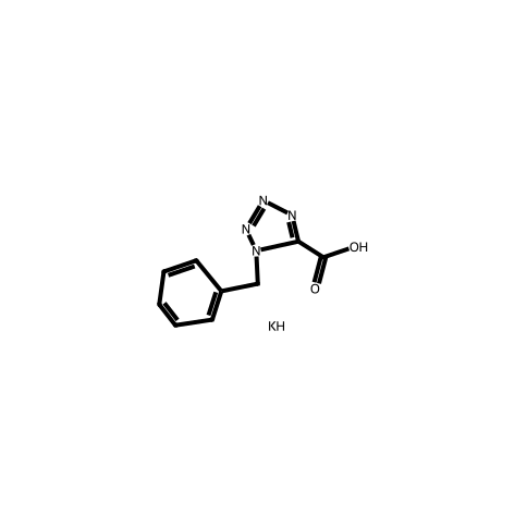 O=C(O)c1nnnn1Cc1ccccc1.[KH]